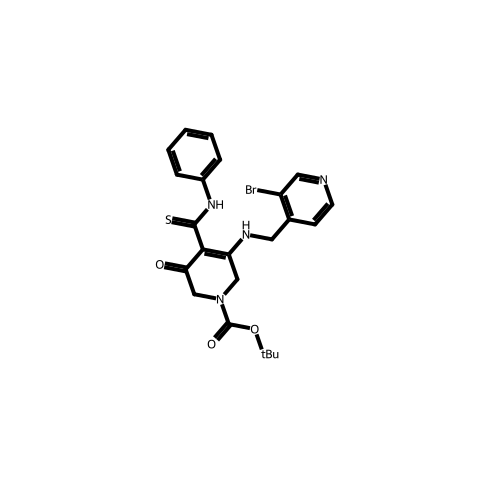 CC(C)(C)OC(=O)N1CC(=O)C(C(=S)Nc2ccccc2)=C(NCc2ccncc2Br)C1